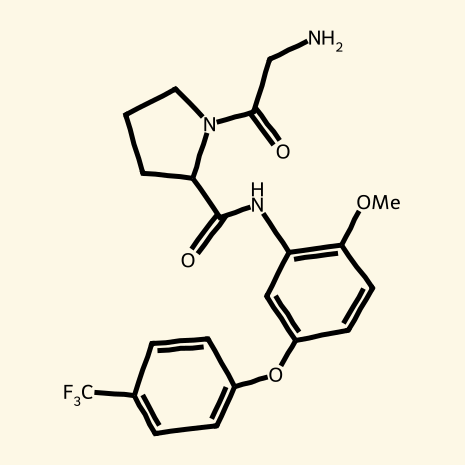 COc1ccc(Oc2ccc(C(F)(F)F)cc2)cc1NC(=O)C1CCCN1C(=O)CN